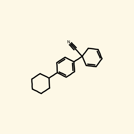 N#CC1(c2ccc(C3CCCCC3)cc2)C=CC=CC1